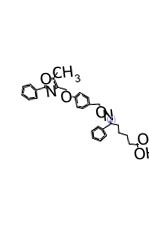 Cc1oc(-c2ccccc2)nc1COc1ccc(CO/N=C(/CCCCC(=O)O)c2ccccc2)cc1